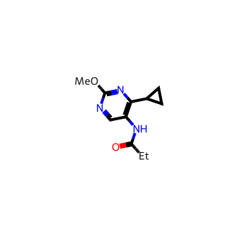 CCC(=O)Nc1cnc(OC)nc1C1CC1